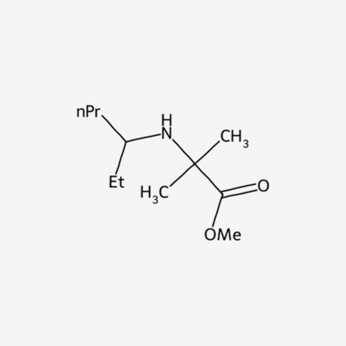 CCCC(CC)NC(C)(C)C(=O)OC